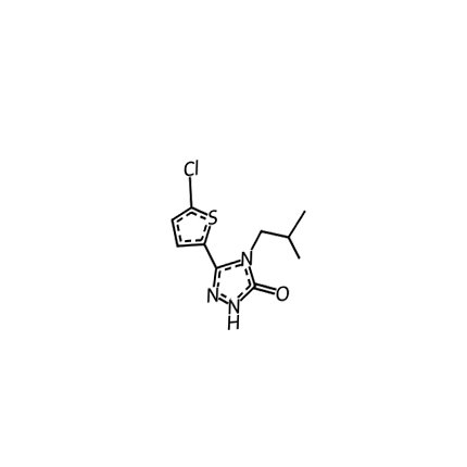 CC(C)Cn1c(-c2ccc(Cl)s2)n[nH]c1=O